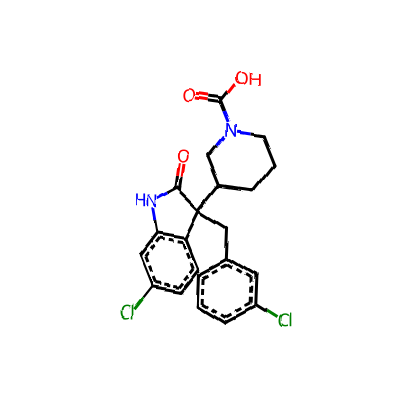 O=C(O)N1CCCC(C2(Cc3cccc(Cl)c3)C(=O)Nc3cc(Cl)ccc32)C1